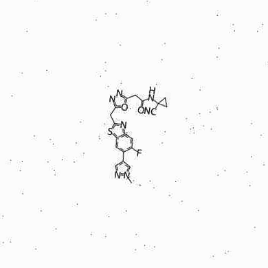 Cn1cc(-c2cc3sc(Cc4nnc(CC(=O)NC5(C#N)CC5)o4)nc3cc2F)cn1